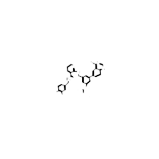 CC(C)Oc1cc(CNc2ncccc2C(=O)NCc2ccc(F)c(F)c2)cc(-c2ccc3ncnc(N)c3c2)c1